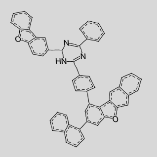 c1ccc(C2=NC(c3ccc4oc5ccccc5c4c3)NC(c3ccc(-c4cc(-c5cccc6ccccc56)cc5oc6cc7ccccc7cc6c45)cc3)=N2)cc1